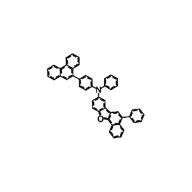 c1ccc(-c2cc3c4cc(N(c5ccccc5)c5ccc(-c6cc7ccccc7c7ccccc67)cc5)ccc4oc3c3ccccc23)cc1